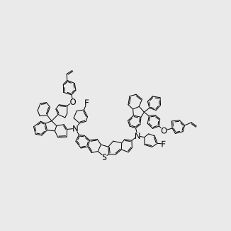 C=Cc1ccc(OC2=CC=C(C3(C4=CC=CCC4)c4ccccc4C4C=CC(N(C5=CC=C(F)CC5)c5ccc6c(c5)=CC5C7=C(C=C8C=CC(N(c9ccc%10c(c9)C(c9ccccc9)(c9ccc(Oc%11ccc(C=C)cc%11)cc9)C9C=CC=CC%109)C9C=CC(F)=CC9)=CC8C7)SC5C=6)=CC43)CC2)cc1